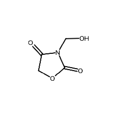 O=C1COC(=O)N1CO